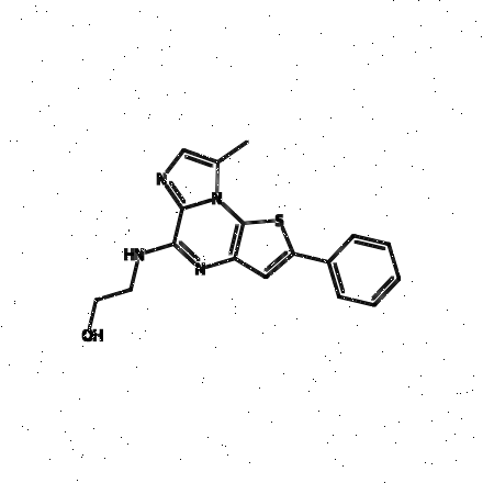 Cc1cnc2c(NCCO)nc3cc(-c4ccccc4)sc3n12